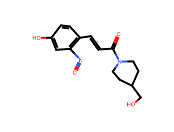 O=Nc1cc(O)ccc1/C=C/C(=O)N1CCC(CO)CC1